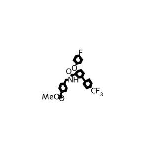 COC(=O)c1ccc(CNC(=O)c2cc(-c3ccc(C(F)(F)F)cc3)ccc2Oc2ccc(F)cc2)cc1